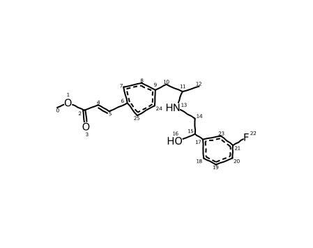 COC(=O)C=Cc1ccc(CC(C)NCC(O)c2cccc(F)c2)cc1